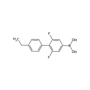 CCc1ccc(-c2c(F)cc(B(O)O)cc2F)cc1